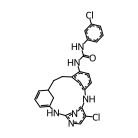 O=C(Nc1cccc(Cl)c1)Nc1ccc2cc1CCC1C=CC=C(C1)Nc1ncc(Cl)c(n1)N2